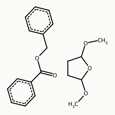 COC1CCC(OC)O1.O=C(OCc1ccccc1)c1ccccc1